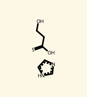 OCCC(O)=S.c1c[nH]cn1